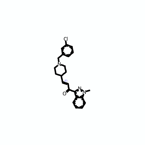 Cn1nc(C(=O)/C=C/C2CCN(Cc3cccc(Cl)c3)CC2)c2ccccc21